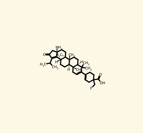 CC(C)C1=C2[C@H]3CC[C@@H]4[C@@]5(C)CC=C(C6=CCC(CF)(C(=O)O)CC6)C(C)(C)[C@@H]5CC[C@@]4(C)[C@]3(C)CC[C@@]2(N)CC1=O